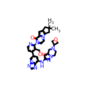 CC1(C)Cc2cc3c(=O)n(-c4nccc(-c5cc(Nc6cc7n(n6)CCN(C6COC6)C7)c6ncnn6c5)c4CO)ccn3c2C1